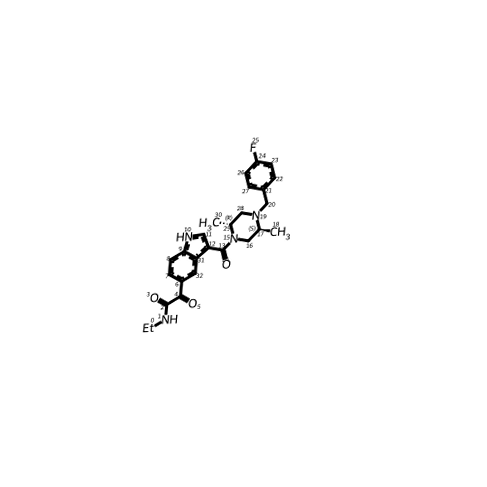 CCNC(=O)C(=O)c1ccc2[nH]cc(C(=O)N3C[C@H](C)N(Cc4ccc(F)cc4)C[C@H]3C)c2c1